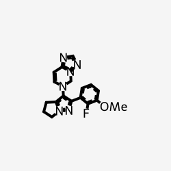 COc1cccc(-c2nn3c(c2N2C=Cc4ncnn4C2)CCC3)c1F